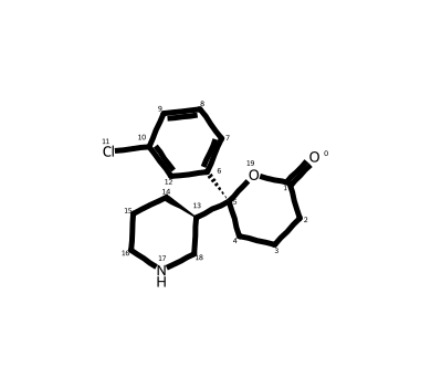 O=C1CCC[C@@](c2cccc(Cl)c2)([C@@H]2CCCNC2)O1